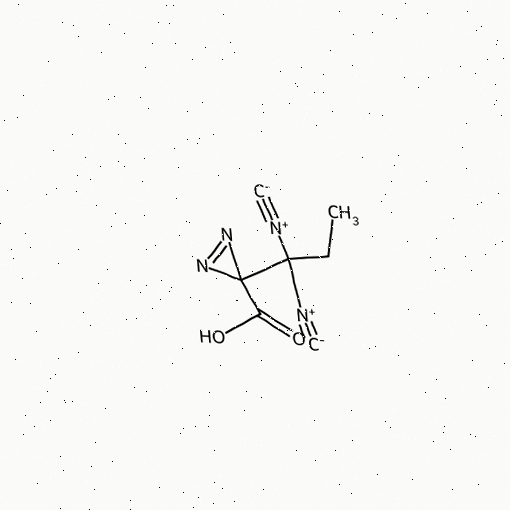 [C-]#[N+]C(CC)([N+]#[C-])C1(C(=O)O)N=N1